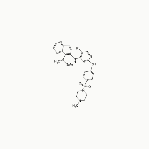 CSN(C)c1c(Nc2nc(Nc3ccc(S(=O)(=O)N4CCN(C)CC4)cc3)ncc2Br)ccc2nccnc12